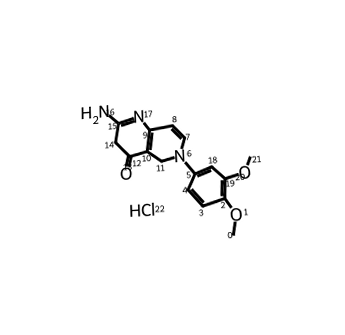 COc1ccc(N2C=CC3=C(C2)C(=O)CC(N)=N3)cc1OC.Cl